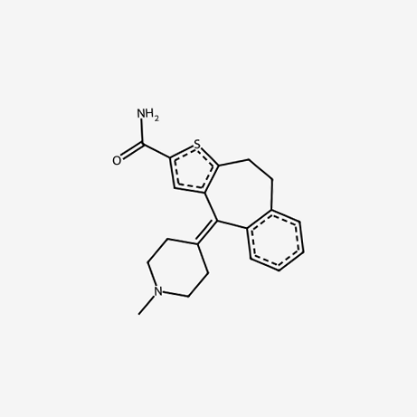 CN1CCC(=C2c3ccccc3CCc3sc(C(N)=O)cc32)CC1